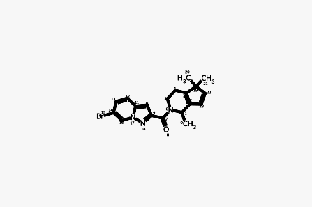 CC1C2=C(CCN1C(=O)c1cc3ccc(Br)cn3n1)C(C)(C)C=C2